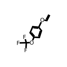 C=COc1ccc(OC(F)(F)F)cc1